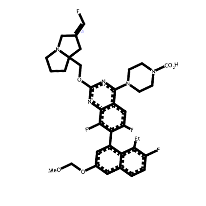 CCc1c(F)ccc2cc(OCOC)cc(-c3c(F)cc4c(N5CCN(C(=O)O)CC5)nc(OCC56CCCN5C/C(=C\F)C6)nc4c3F)c12